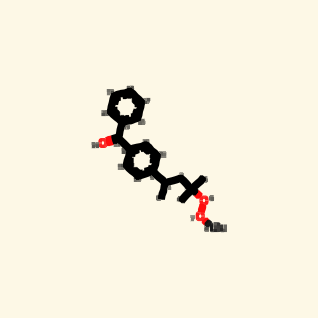 CC(CC(C)(C)OOC(C)(C)C)c1ccc(C(=O)c2ccccc2)cc1